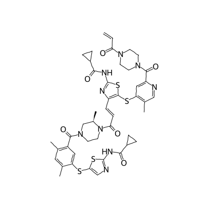 C=CC(=O)N1CCN(C(=O)c2cc(Sc3sc(NC(=O)C4CC4)nc3C=CC(=O)N3CCN(C(=O)c4cc(Sc5cnc(NC(=O)C6CC6)s5)c(C)cc4C)C[C@H]3C)c(C)cn2)CC1